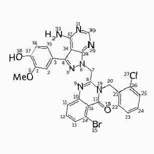 COc1cc(-c2nn(Cc3nc4cccc(Br)c4c(=O)n3Cc3ccccc3Cl)c3ncnc(N)c23)ccc1O